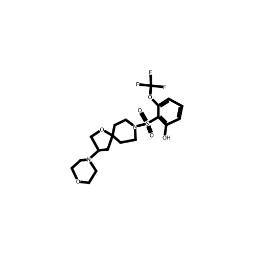 O=S(=O)(c1c(O)cccc1OC(F)(F)F)N1CCC2(CC1)CC(N1CCOCC1)CO2